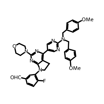 COc1ccc(CN(Cc2ccc(OC)cc2)c2ncc(-c3nc(N4CCOCC4)nc4c3CCN4c3cc(C=O)ccc3F)cn2)cc1